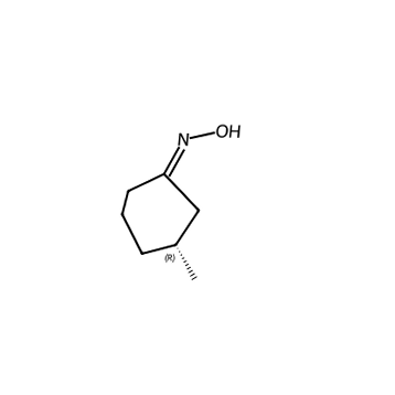 C[C@@H]1CCCC(=NO)C1